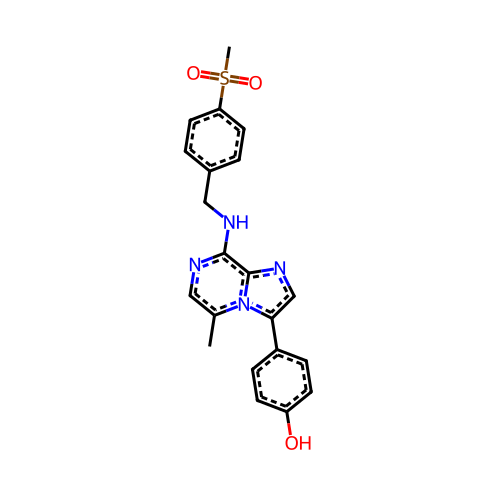 Cc1cnc(NCc2ccc(S(C)(=O)=O)cc2)c2ncc(-c3ccc(O)cc3)n12